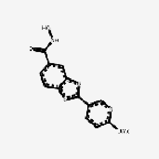 COc1ccc(-c2nc3cc(C(=O)NO)ccc3o2)cn1